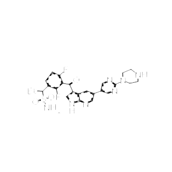 CCC(c1ccc(F)c(C(=O)c2c[nH]c3ncc(-c4cnc(N5CCNCC5)nc4)cc23)c1F)S(N)(=O)=O